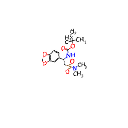 CN(C)S(=O)(=O)CC(NC(=O)OC(C)(C)C)c1ccc2c(c1)OCO2